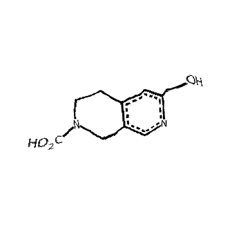 O=C(O)N1CCc2cc(O)ncc2C1